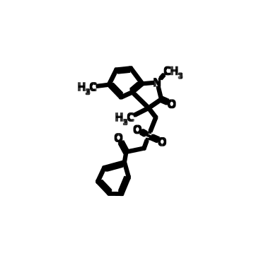 Cc1ccc2c(c1)C(C)(CS(=O)(=O)CC(=O)c1ccccc1)C(=O)N2C